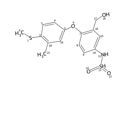 CSc1ccc(Oc2ccc(N[SH](=O)=O)cc2CO)cc1C